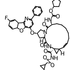 O=C(N[C@H]1CCCCC/C=C\[C@@H]2C[C@@]2(C(=O)NS(=O)(=O)C2CC2)NC(=O)[C@@H]2C[C@@H](Oc3cc(-c4ccccc4)nc4c3OC3C=CC(F)=CC43)CN2C1=O)OC1CCCC1